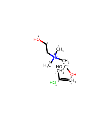 C=CC.C[N+](C)(C)CCO.Cl.O=C(O)O